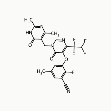 Cc1cc(C#N)c(F)c(Oc2c(C(F)(F)C(F)F)ncn(Cc3c(C)nc(C)[nH]c3=O)c2=O)c1